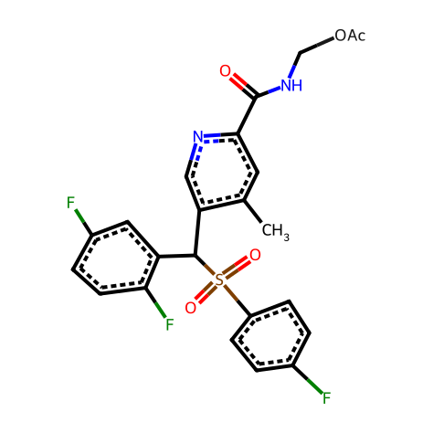 CC(=O)OCNC(=O)c1cc(C)c(C(c2cc(F)ccc2F)S(=O)(=O)c2ccc(F)cc2)cn1